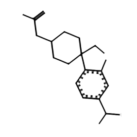 O=C(O)CC1CCC2(CC1)COc1cc(C(F)F)ccc12